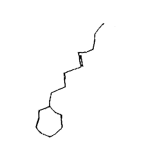 O=C(O)CCC=CCCCC1CCCCC1